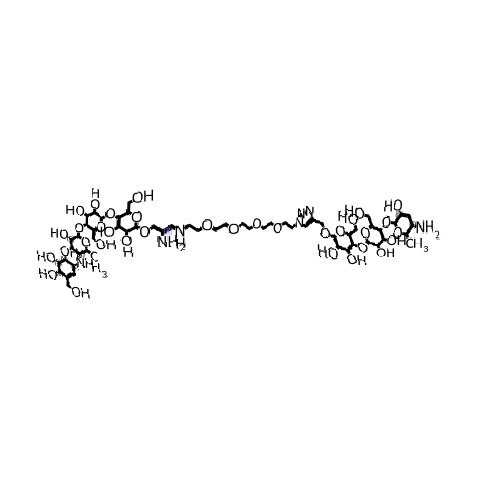 CC1OC(OC2C(CO)OC(OC3C(CO)OC(OCc4cn(CCOCCOCCOCCOCCN/C=C(\N)COC5OC(CO)C(OC6OC(CO)C(OC7OC(C)[C@@H](N[C@H]8C=C(CO)[C@@H](O)[C@H](O)[C@@H]8O)C[C@@H]7O)C(O)C6O)C(O)C5O)nn4)C(O)C3O)C(O)C2O)[C@H](O)C[C@H]1N